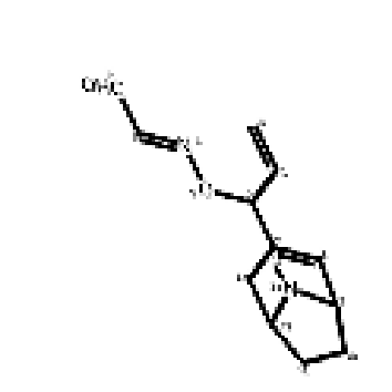 C=CC(ON=CC=O)C1=CC2CCC(C1)N2C